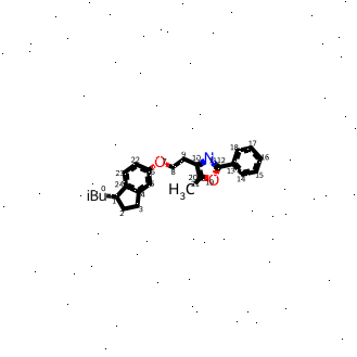 CCC(C)C1CCc2cc(OCCc3nc(-c4ccccc4)oc3C)ccc21